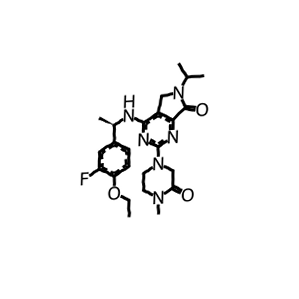 CCOc1ccc([C@@H](C)Nc2nc(N3CCN(C)C(=O)C3)nc3c2CN(C(C)C)C3=O)cc1F